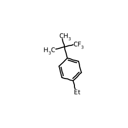 CCc1ccc(C(C)(C)C(F)(F)F)cc1